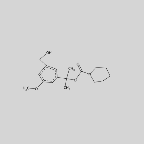 COc1cc(CO)cc(C(C)(C)OC(=O)N2CCCCC2)c1